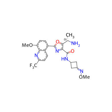 CON=C1CC(NC(=O)c2nc(-c3ccc(OC)c4nc(C(F)(F)F)ccc34)oc2[C@H](C)N)C1